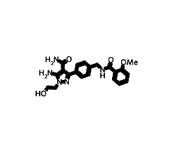 COc1ccccc1C(=O)NCc1ccc(-c2nn(CCO)c(N)c2C(N)=O)cc1